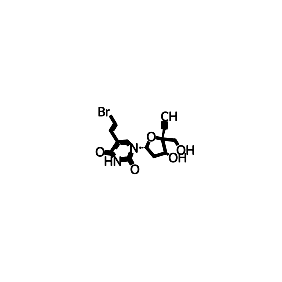 C#C[C@]1(CO)O[C@@H](n2cc(C=CBr)c(=O)[nH]c2=O)C[C@@H]1O